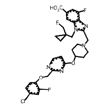 O=C(O)c1cc(F)c2nc(CN3CCC(Oc4ccnc(COc5ccc(Cl)cc5F)n4)CC3)n(CC3(CF)CC3)c2c1